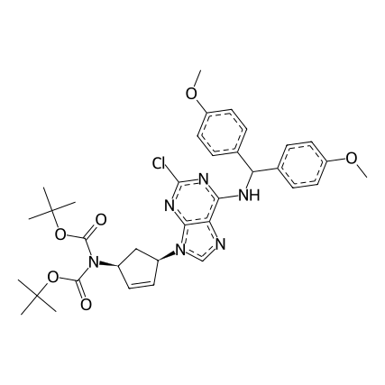 COc1ccc(C(Nc2nc(Cl)nc3c2ncn3[C@H]2C=C[C@@H](N(C(=O)OC(C)(C)C)C(=O)OC(C)(C)C)C2)c2ccc(OC)cc2)cc1